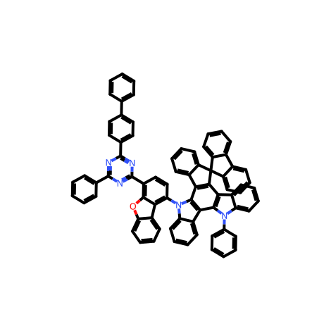 c1ccc(-c2ccc(-c3nc(-c4ccccc4)nc(-c4ccc(-n5c6ccccc6c6c5c5c(c7c8ccccc8n(-c8ccccc8)c76)C6(c7ccccc7-c7ccccc76)c6ccccc6-5)c5c4oc4ccccc45)n3)cc2)cc1